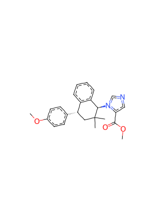 COC(=O)c1cncn1[C@@H]1c2ccccc2[C@@H](c2ccc(OC)cc2)CC1(C)C